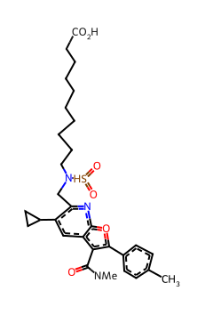 CNC(=O)c1c(-c2ccc(C)cc2)oc2nc(CN(CCCCCCCCCC(=O)O)[SH](=O)=O)c(C3CC3)cc12